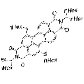 CCCCCCSc1cc2c3c(cc(SCCCCCC)c4c5ccc6c7c(ccc(c1c34)c75)C(=O)N(C(CCCCCC)CCCCCC)C6=O)C(=O)N(C(CCCCCC)CCCCCC)C2=O